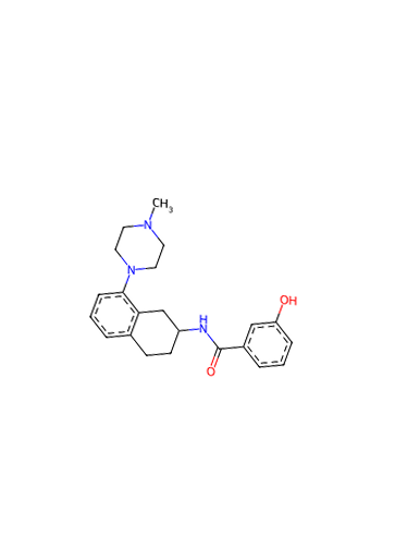 CN1CCN(c2cccc3c2CC(NC(=O)c2cccc(O)c2)CC3)CC1